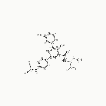 CC(C)[C@@H](CO)NC(=O)c1cc(-c2ccc(OC(F)F)cc2)nn(-c2cccc(F)c2)c1=O